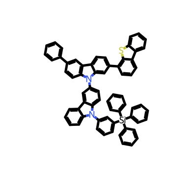 c1ccc(-c2ccc3c(c2)c2ccc(-c4cccc5c4sc4ccccc45)cc2n3-c2ccc3c(c2)c2ccccc2n3-c2cccc([Si](c3ccccc3)(c3ccccc3)c3ccccc3)c2)cc1